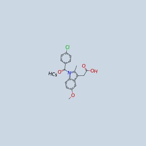 COc1ccc2c(c1)c(CC(=O)O)c(C)n2C(=O)c1ccc(Cl)cc1.[CsH]